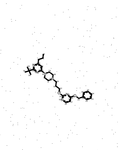 CCCc1cc(N2CCN(CCCOc3nccc(OCc4ccccc4)n3)CC2)nc(C(C)(C)C)n1